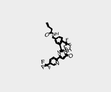 CCCC(=O)NCc1ccc(C(F)(F)F)c(-c2nc(-c3ccc(C(F)(F)F)cn3)cc(=O)[nH]2)c1